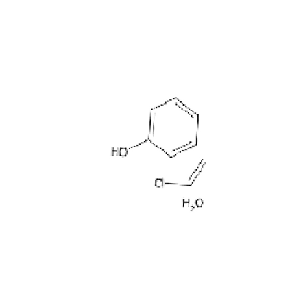 C=CCl.O.Oc1ccccc1